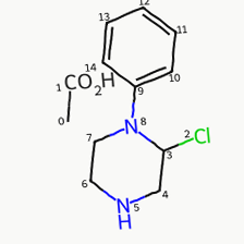 CC(=O)O.ClC1CNCCN1c1ccccc1